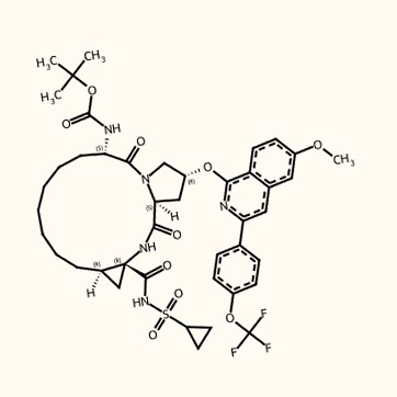 COc1ccc2c(O[C@@H]3C[C@H]4C(=O)N[C@]5(C(=O)NS(=O)(=O)C6CC6)C[C@H]5CCCCCCC[C@H](NC(=O)OC(C)(C)C)C(=O)N4C3)nc(-c3ccc(OC(F)(F)F)cc3)cc2c1